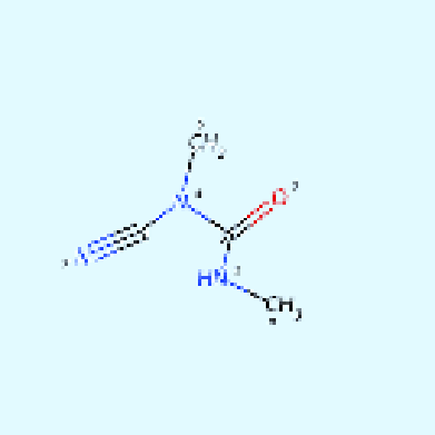 CNC(=O)N(C)C#N